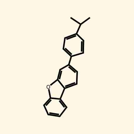 CC(C)c1ccc(-c2ccc3c(c2)oc2ccccc23)cc1